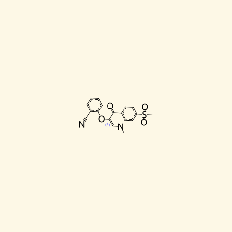 CN(C)/C=C(/Oc1ccccc1C#N)C(=O)c1ccc(S(C)(=O)=O)cc1